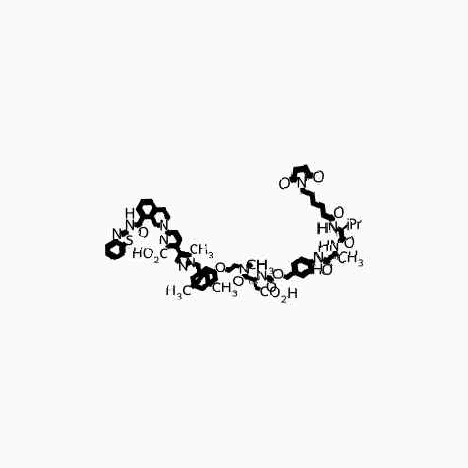 Cc1c(-c2ccc(N3CCc4cccc(C(=O)Nc5nc6ccccc6s5)c4C3)nc2C(=O)O)cnn1CC12CC3(C)CC(C)(C1)CC(OCCN(C)C(=O)[C@H](CC(=O)O)NC(=O)OCc1ccc(NC(=O)[C@H](C)NC(=O)[C@@H](NC(=O)CCCCCN4C(=O)C=CC4=O)C(C)C)cc1)(C3)C2